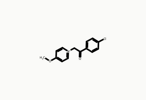 COc1cc[n+](CC(=O)c2ccc(Cl)cc2)cc1